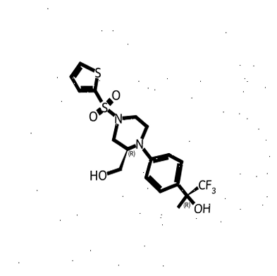 C[C@@](O)(c1ccc(N2CCN(S(=O)(=O)c3cccs3)C[C@@H]2CO)cc1)C(F)(F)F